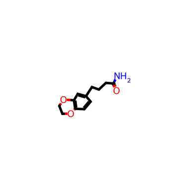 NC(=O)CCCc1ccc2c(c1)OCCO2